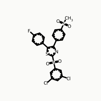 CS(=O)(=O)c1ccc(-c2nc(S(=O)(=O)c3cc(Cl)cc(Cl)c3)sc2-c2ccc(F)cc2)cc1